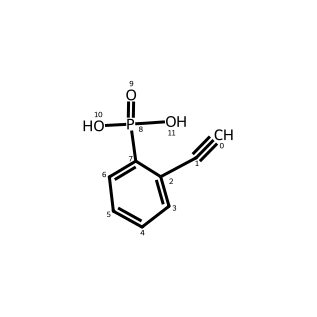 C#Cc1ccccc1P(=O)(O)O